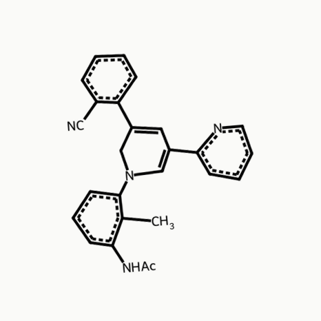 CC(=O)Nc1cccc(N2C=C(c3ccccn3)C=C(c3ccccc3C#N)C2)c1C